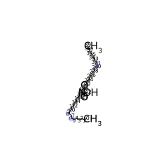 CCCCC/C=C\C/C=C\CCCCCCCCN(CCOCCCCCCCC/C=C\CCCCCCCC)C(=O)O